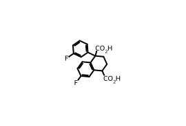 O=C(O)C1CCC(C(=O)O)(c2cccc(F)c2)c2ccc(F)cc21